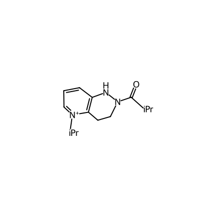 CC(C)C(=O)N1CCc2c(ccc[n+]2C(C)C)N1